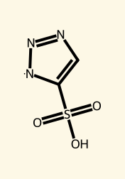 O=S(=O)(O)C1=CN=N[N]1